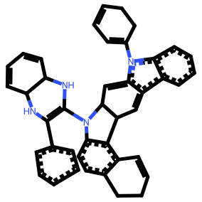 C1=CCCC(n2c3c(c4ccccc42)=CC2c4c(ccc5c4C=CCC5)N(C4=C(c5ccccc5)NC5C=CC=CC5N4)C2C=3)=C1